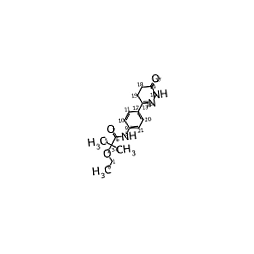 CCOC(C)(C)C(=O)Nc1ccc(C2=NNC(=O)CC2)cc1